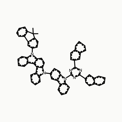 CC1(C)c2ccccc2-c2cc(-n3c4ccccc4c4c5c6ccccc6n(-c6ccc7c(c6)c6ccccc6n7-c6nc(-c7ccc8ccccc8c7)nc(-c7ccc8ccccc8c7)n6)c5ccc43)ccc21